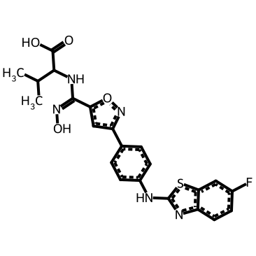 CC(C)C(NC(=NO)c1cc(-c2ccc(Nc3nc4ccc(F)cc4s3)cc2)no1)C(=O)O